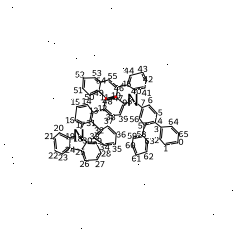 c1ccc(-c2ccc(N(c3ccc(-c4cccc(-n5c6ccccc6c6ccccc65)c4-c4ccccc4)cc3)c3ccccc3-c3ccc4ccccc4c3)cc2-c2ccccc2)cc1